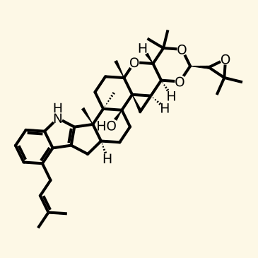 CC(C)=CCc1cccc2[nH]c3c(c12)C[C@@H]1CC[C@]2(O)[C@](C)(CC[C@]4(C)O[C@H]5[C@@H](O[C@H](C6OC6(C)C)OC5(C)C)[C@H]5C[C@@]524)[C@@]31C